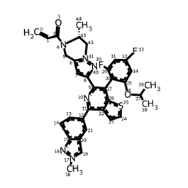 C=CC(=O)N1Cc2cc(-c3nc(-c4ccc5nn(C)cc5c4)c4ccsc4c3-c3c(F)cc(F)cc3OC(C)C)nn2C[C@H]1C